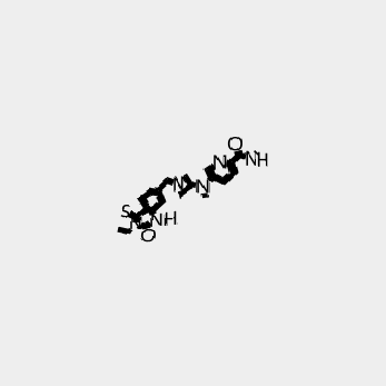 CCn1c(=O)[nH]c2cc(CN3CC(N(C)c4ccc(C(=O)NC)nc4)C3)ccc2c1=S